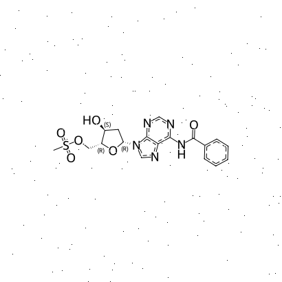 CS(=O)(=O)OC[C@H]1O[C@@H](n2cnc3c(NC(=O)c4ccccc4)ncnc32)C[C@@H]1O